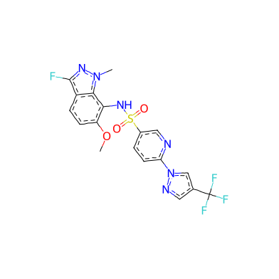 COc1ccc2c(F)nn(C)c2c1NS(=O)(=O)c1ccc(-n2cc(C(F)(F)F)cn2)nc1